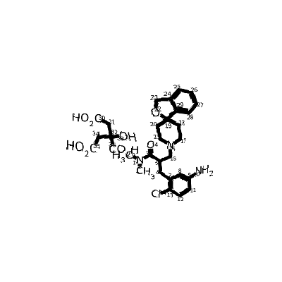 CN(C)C(=O)C(Cc1cc(N)ccc1Cl)CN1CCC2(CC1)OCc1ccccc12.O=C(O)CC(O)(CC(=O)O)C(=O)O